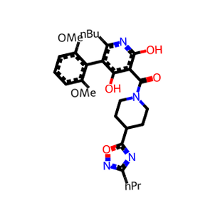 CCCCc1nc(O)c(C(=O)N2CCC(c3nc(CCC)no3)CC2)c(O)c1-c1c(OC)cccc1OC